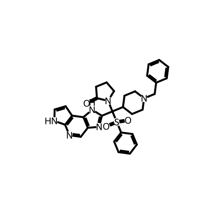 O=C1CCCN1C(c1nc2cnc3[nH]ccc3c2[nH]1)(C1CCN(Cc2ccccc2)CC1)S(=O)(=O)c1ccccc1